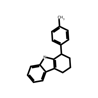 Cc1ccc(C2CCCC3=C2[N]c2ccccc23)cc1